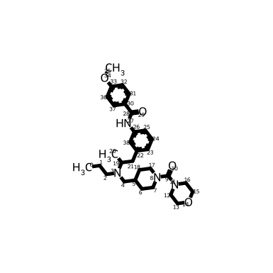 CCCN(CC1CCN(C(=O)N2CCOCC2)CC1)C(C)Cc1cccc(NC(=O)c2ccc(OC)cc2)c1